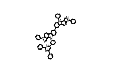 c1ccc(-c2cc(-c3cccc(-n4c5ccc(-c6ccc7c(c6)c6ccc8c(cnn8-c8ccccc8)c6n7-c6ccccc6)cc5c5ccc6c(cnn6-c6ccccc6)c54)c3)nc(-c3ccccc3)n2)cc1